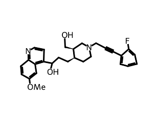 COc1ccc2nccc(C(O)CC[C@@H]3CCN(CC#Cc4ccccc4F)C[C@@H]3CO)c2c1